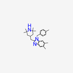 Cc1ccc(Cn2c(CC3CC(C)(C)NC(C)(C)C3)nc3cc(C)c(C)cc32)cc1